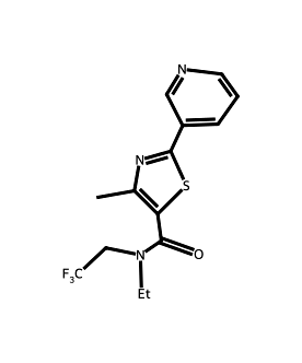 CCN(CC(F)(F)F)C(=O)c1sc(-c2cccnc2)nc1C